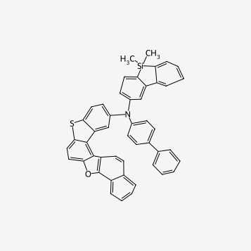 C[Si]1(C)c2ccccc2-c2cc(N(c3ccc(-c4ccccc4)cc3)c3ccc4sc5ccc6oc7c8ccccc8ccc7c6c5c4c3)ccc21